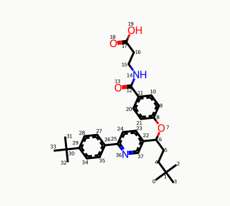 CC(C)(C)CCC(Oc1ccc(C(=O)NCCC(=O)O)cc1)c1ccc(-c2ccc(C(C)(C)C)cc2)nc1